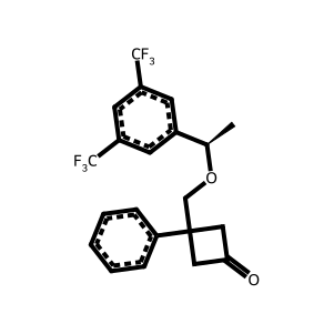 C[C@@H](OCC1(c2ccccc2)CC(=O)C1)c1cc(C(F)(F)F)cc(C(F)(F)F)c1